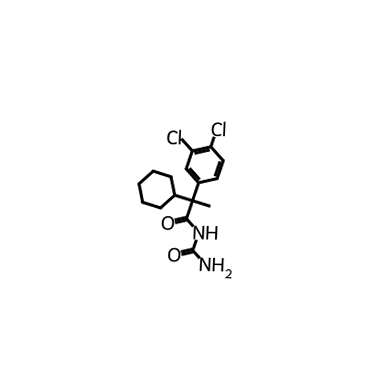 CC(C(=O)NC(N)=O)(c1ccc(Cl)c(Cl)c1)C1CCCCC1